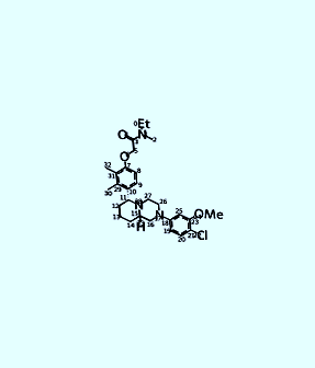 CCN(C)C(=O)COc1ccc([C@H]2CCC[C@H]3CN(c4ccc(Cl)c(OC)c4)CCN32)c(C)c1C